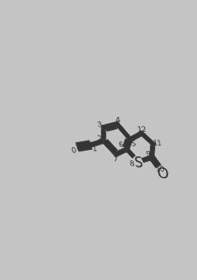 C#Cc1ccc2c(c1)SC(=O)CC2